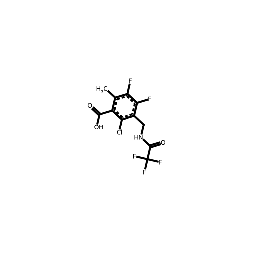 Cc1c(F)c(F)c(CNC(=O)C(F)(F)F)c(Cl)c1C(=O)O